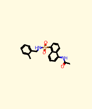 CC(=O)Nc1cccc2c(S(=O)(=O)NCc3ccccc3C)cccc12